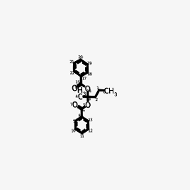 CCCC(C)(OC(=O)c1ccccc1)OC(=O)c1ccccc1